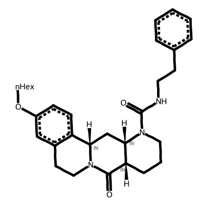 CCCCCCOc1ccc2c(c1)CCN1C(=O)[C@H]3CCCN(C(=O)NCCc4ccccc4)[C@H]3C[C@@H]21